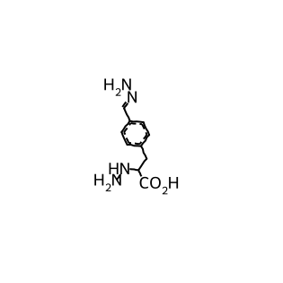 NN=Cc1ccc(CC(NN)C(=O)O)cc1